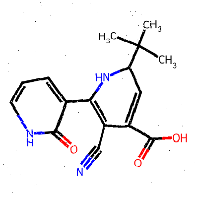 CC(C)(C)C1C=C(C(=O)O)C(C#N)=C(c2ccc[nH]c2=O)N1